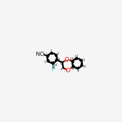 N#Cc1ccc(C2COc3ccccc3O2)c(F)c1